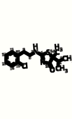 CC(C)C1(C)SC(NCCc2ccccc2Cl)=NC1=O